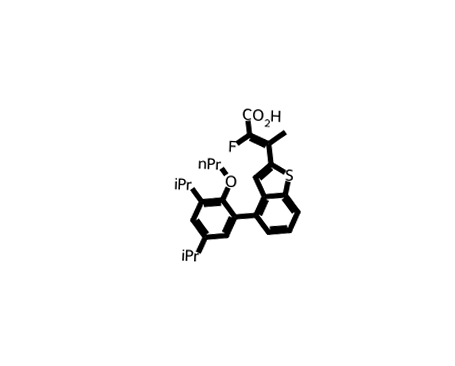 CCCOc1c(-c2cccc3sc(C(C)=C(F)C(=O)O)cc23)cc(C(C)C)cc1C(C)C